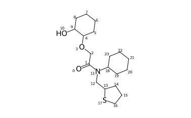 O=C(COC1CCCCC1O)N(CC1CCCS1)C1CCCCC1